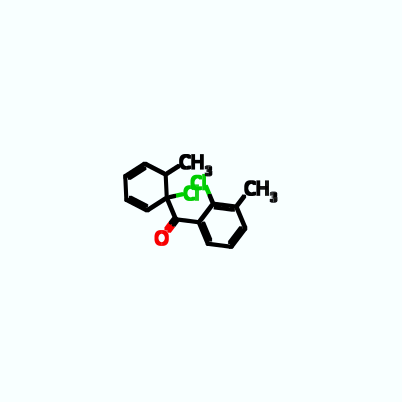 Cc1cccc(C(=O)C2(Cl)C=CC=CC2C)c1Cl